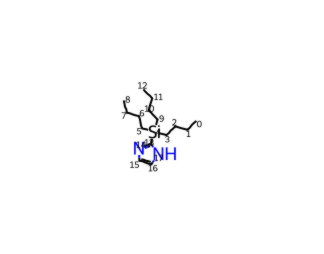 CCCC[Si](CCCC)(CCCC)c1ncc[nH]1